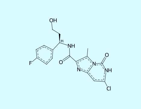 Cc1c(C(=O)N[C@H](CCO)c2ccc(F)cc2)nc2cc(Cl)[nH]c(=O)n12